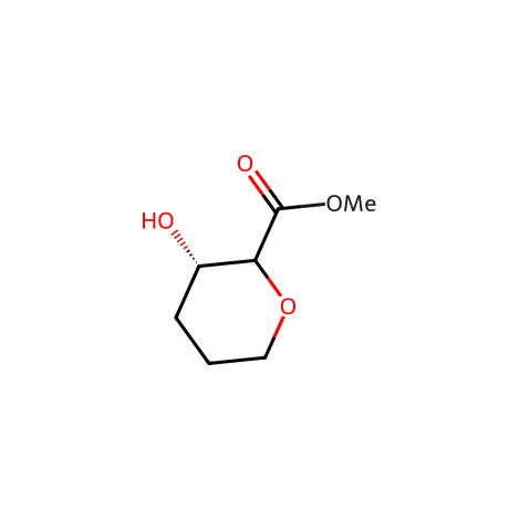 COC(=O)C1OCCC[C@@H]1O